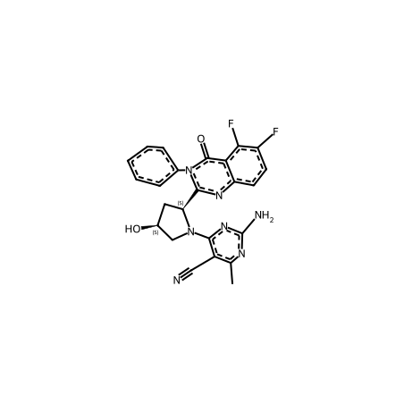 Cc1nc(N)nc(N2C[C@@H](O)C[C@H]2c2nc3ccc(F)c(F)c3c(=O)n2-c2ccccc2)c1C#N